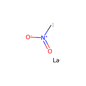 [C][N+](=O)[O-].[La]